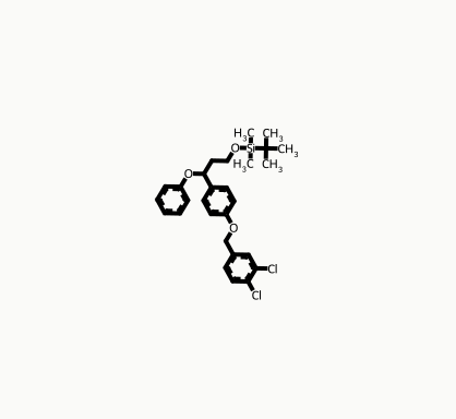 CC(C)(C)[Si](C)(C)OCCC(Oc1ccccc1)c1ccc(OCc2ccc(Cl)c(Cl)c2)cc1